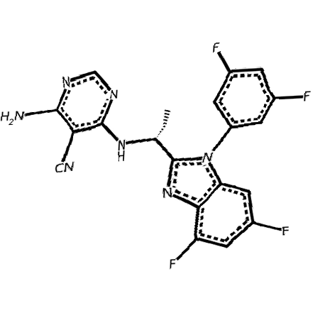 C[C@@H](Nc1ncnc(N)c1C#N)c1nc2c(F)cc(F)cc2n1-c1cc(F)cc(F)c1